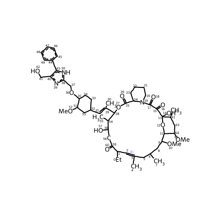 CCC1/C=C(\C)CC(C)CC(OC)C2OC(O)(C(=O)C(=O)N3CCCCC3C(=O)OC(C(C)=CC3CCC(OCc4nc(CO)c(-c5ccccc5)[nH]4)C(OC)C3)C(C)C(O)CC1=O)C(C)CC2OC